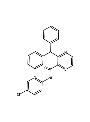 O=C(Nc1ccc(Cl)cn1)c1nccnc1[C](c1ccccc1)c1ccccc1